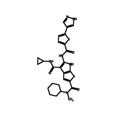 CN(C(=O)c1cc2c(C(=O)NC3CC3)c(NC(=O)c3ccc(-c4cn[nH]c4)s3)[nH]c2s1)C1CCCCC1